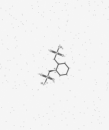 CS(=O)(=O)CC1CCCC[C@H]1CS(C)(=O)=O